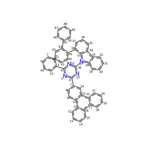 c1ccc(-c2nc(-c3ccc4c5ccccc5c5ccccc5c4c3)nc(-n3c4ccccc4c4cccc(-c5ccccc5-c5ccccc5)c43)n2)cc1